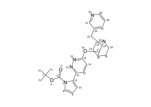 CC(C)(C)OC(=O)n1cccc1-c1ccc(OC2C3CCN(CC3)C2Cc2cccnc2)nn1